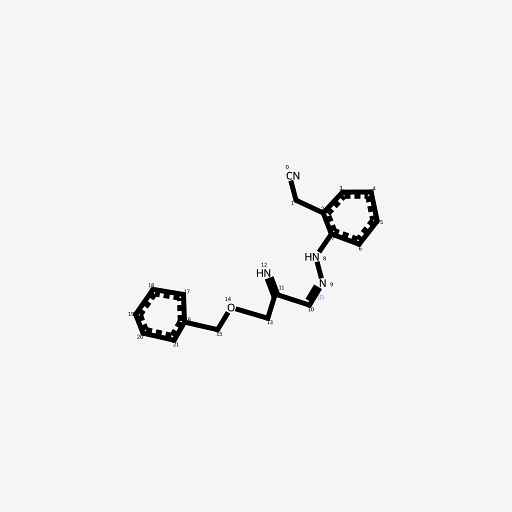 N#CCc1ccccc1N/N=C\C(=N)COCc1ccccc1